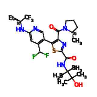 BC(B)(NC(=O)c1nc(C(=O)N2CCC[C@@H]2C)c(-c2cnc(N[C@@H](CC)C(F)(F)F)cc2C(F)F)s1)C(C)(C)O